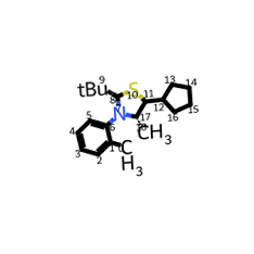 Cc1ccccc1N1C(C(C)(C)C)SC(C2CCCC2)[C@@H]1C